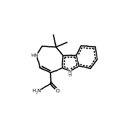 CC1(C)CNC=C(C(N)=O)c2[nH]c3ccccc3c21